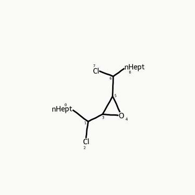 CCCCCCCC(Cl)C1OC1C(Cl)CCCCCCC